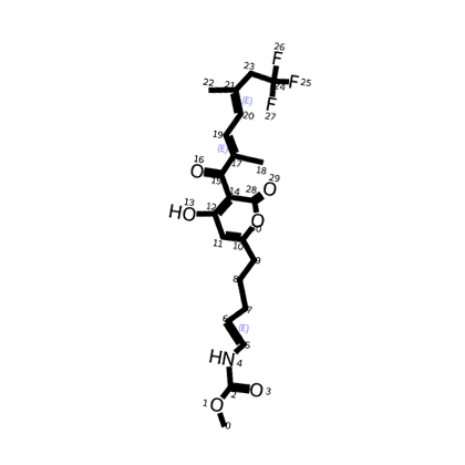 COC(=O)N/C=C/CCCc1cc(O)c(C(=O)/C(C)=C/C=C(\C)CC(F)(F)F)c(=O)o1